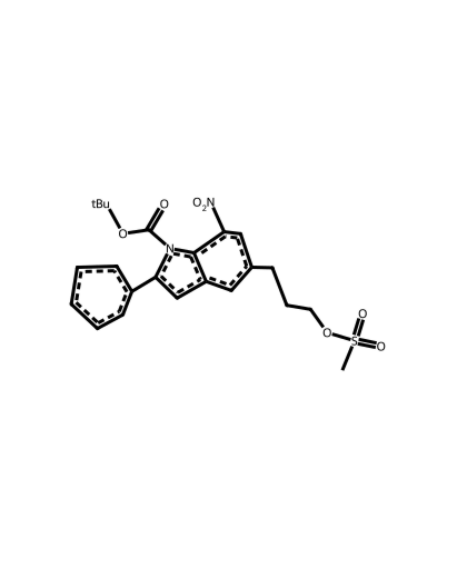 CC(C)(C)OC(=O)n1c(-c2ccccc2)cc2cc(CCCOS(C)(=O)=O)cc([N+](=O)[O-])c21